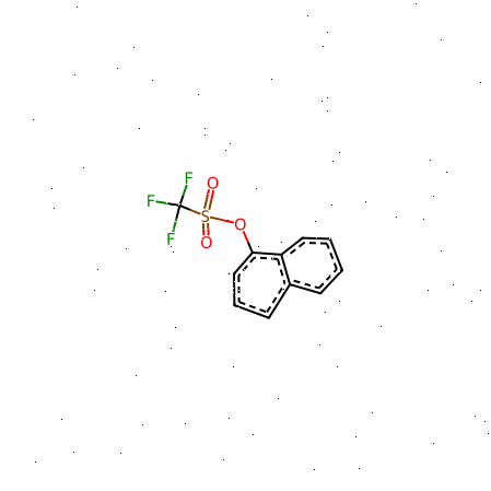 O=S(=O)(Oc1[c]ccc2ccccc12)C(F)(F)F